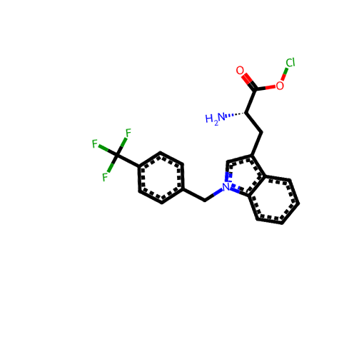 N[C@@H](Cc1cn(Cc2ccc(C(F)(F)F)cc2)c2ccccc12)C(=O)OCl